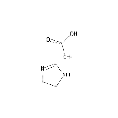 C1=NCCN1.[CH]C(=O)O